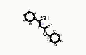 S=C(/C=C(\S)c1ccccc1)Oc1ccccc1